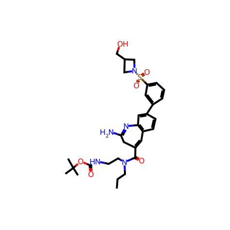 CCCN(CCNC(=O)OC(C)(C)C)C(=O)C1=Cc2ccc(-c3cccc(S(=O)(=O)N4CC(CO)C4)c3)cc2N=C(N)C1